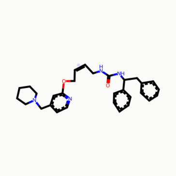 O=C(NC/C=C\COc1cc(CN2CCCCC2)ccn1)NC(Cc1ccccc1)c1ccccc1